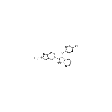 Cn1cc2cc(-c3[nH]c4ncccc4c3Sc3ccc(Cl)cn3)ccc2n1